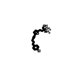 CC(N)(CO)CCc1ccc(C#CCCCc2ccc(Cl)cc2)o1